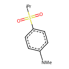 CNc1ccc(S(=O)(=O)C(C)C)cc1